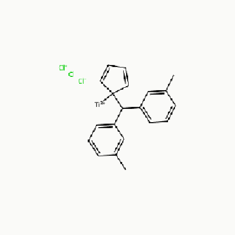 Cc1cccc(C(c2cccc(C)c2)[C]2([Ti+3])C=CC=C2)c1.[Cl-].[Cl-].[Cl-]